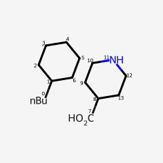 CCCCC1C[CH]CCC1.O=C(O)C1CCNCC1